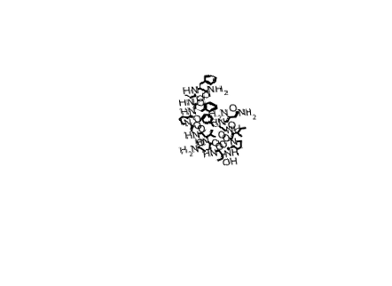 CCC(C)[C@H](NC(=O)[C@H](Cc1ccccc1)NC(=O)[C@@H](N)CC(N)=O)C(=O)N1CCCC1C(=O)N[C@H](C(=O)N[C@@H](CC(N)=O)C(=O)N[C@H](C(=O)NCC(=O)N1CCCC1C(=O)N[C@@H](Cc1ccccc1)C(=O)N[C@@H](C)C(=O)N[C@@H](Cc1ccccc1)C(N)=O)C(C)C)C(C)O